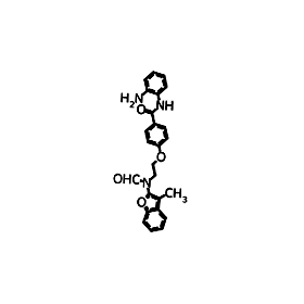 Cc1c(N(C=O)CCOc2ccc(C(=O)Nc3ccccc3N)cc2)oc2ccccc12